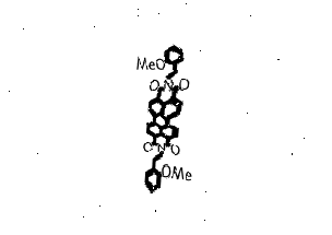 COc1ccccc1CCN1C(=O)c2ccc3c4ccc5c6c(ccc(c7ccc(c2c37)C1=O)c64)C(=O)N(CCc1ccccc1OC)C5=O